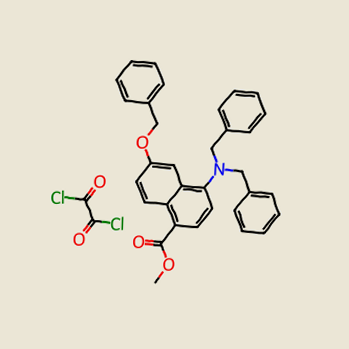 COC(=O)c1ccc(N(Cc2ccccc2)Cc2ccccc2)c2cc(OCc3ccccc3)ccc12.O=C(Cl)C(=O)Cl